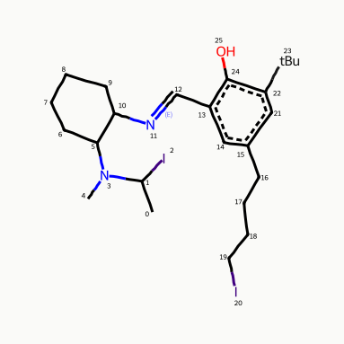 CC(I)N(C)C1CCCCC1/N=C/c1cc(CCCCI)cc(C(C)(C)C)c1O